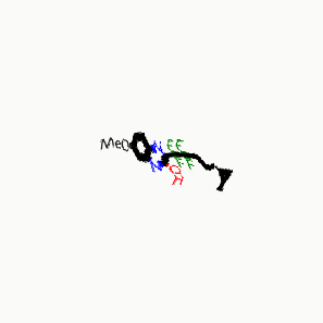 COc1ccc2nc(C(F)(F)C(F)(F)CCC[C@@H]3CC3C)c(O)nc2c1